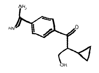 N=C(N)c1ccc(C(=O)C(CO)C2CC2)cc1